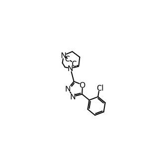 Clc1ccccc1-c1nnc(N2CCN3CCC2CC3)o1